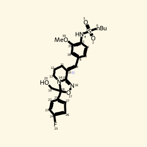 CCCCS(=O)(=O)Nc1ccc(/C=C2\CCCN3C2=NOC3(CO)c2ccc(F)cc2)cc1OC